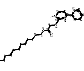 CCCCCCCCCCCCOC(=O)CSc1nccc(-c2ccccn2)n1